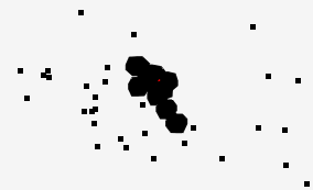 c1ccc(-c2ccc(-c3ccc(-c4c5ccccc5c(-c5ccccc5)c5ccccc45)c4c3Cc3ccccc3-4)cc2)cc1